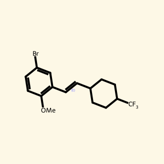 COc1ccc(Br)cc1/C=C/C1CCC(C(F)(F)F)CC1